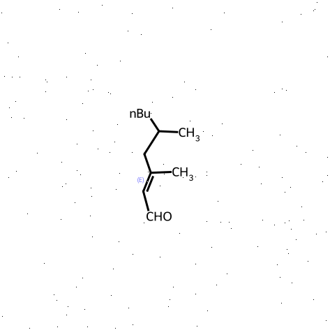 CCCCC(C)C/C(C)=C/C=O